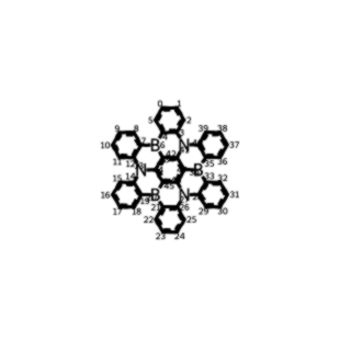 c1ccc2c(c1)B1c3ccccc3N3c4ccccc4B4c5ccccc5N5c6ccccc6B6c7ccccc7N2c2c1c3c4c5c26